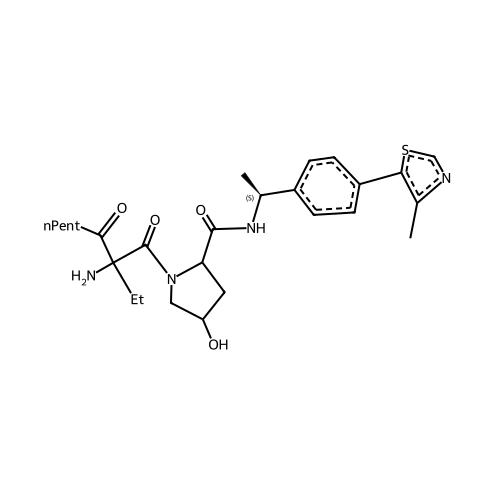 CCCCCC(=O)C(N)(CC)C(=O)N1CC(O)CC1C(=O)N[C@@H](C)c1ccc(-c2scnc2C)cc1